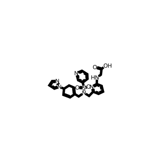 O=C(O)CNc1cccc(CN(CC2=CCC(n3cccn3)C=C2)S(=O)(=O)c2cccnc2)n1